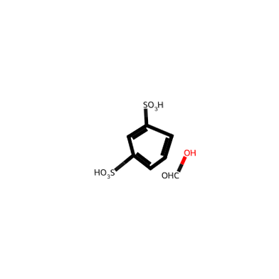 O=CO.O=S(=O)(O)c1cccc(S(=O)(=O)O)c1